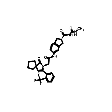 CNC(=O)NC(=O)[C@@H]1Cc2ccc(NC(=O)CN3C(=O)C4(CCCC4)N=C3c3ccccc3C(F)(F)F)cc2C1